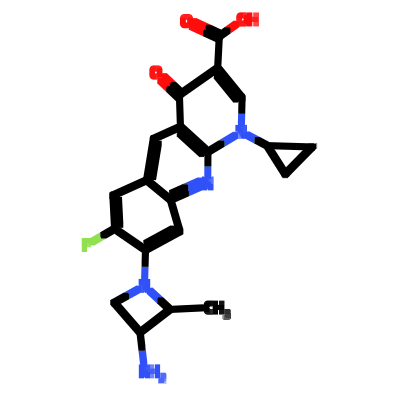 CC1C(N)CN1c1cc2nc3c(cc2cc1F)c(=O)c(C(=O)O)cn3C1CC1